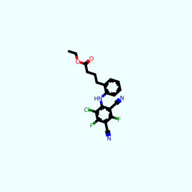 CCOC(=O)CCCc1ccccc1Nc1c(Cl)c(F)c(C#N)c(F)c1C#N